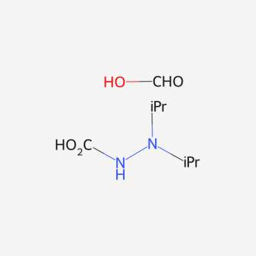 CC(C)N(NC(=O)O)C(C)C.O=CO